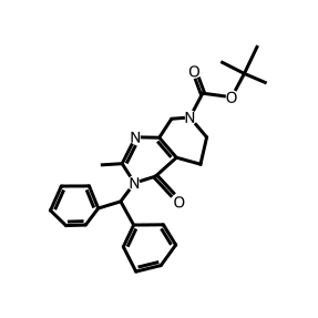 Cc1nc2c(c(=O)n1C(c1ccccc1)c1ccccc1)CCN(C(=O)OC(C)(C)C)C2